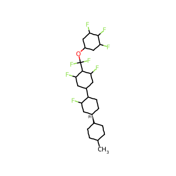 CC1CCC([C@@H]2CCC(C3CC(F)C(C(F)(F)OC4CC(F)C(F)C(F)C4)C(F)C3)C(F)C2)CC1